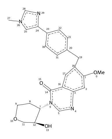 COc1cc2ncn([C@H]3CCOC[C@@H]3O)c(=O)c2cc1Cc1ccc(-c2cn(C)cn2)cc1